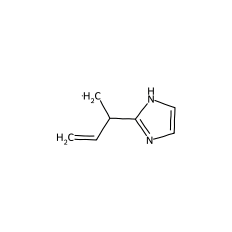 [CH2]C(C=C)c1ncc[nH]1